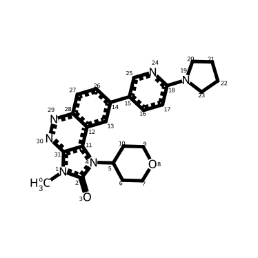 Cn1c(=O)n(C2CCOCC2)c2c3cc(-c4ccc(N5CCCC5)nc4)ccc3nnc21